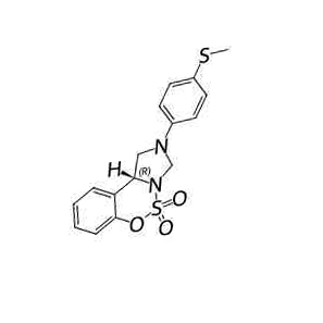 CSc1ccc(N2C[C@H]3c4ccccc4OS(=O)(=O)N3C2)cc1